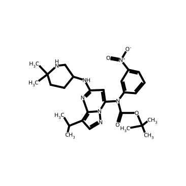 CC(C)c1cnn2c(N(C(=O)OC(C)(C)C)c3cccc([N+](=O)[O-])c3)cc(NC3CCC(C)(C)NC3)nc12